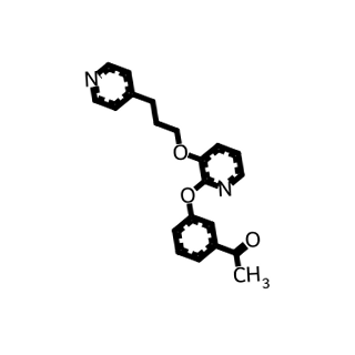 CC(=O)c1cccc(Oc2ncccc2OCCCc2ccncc2)c1